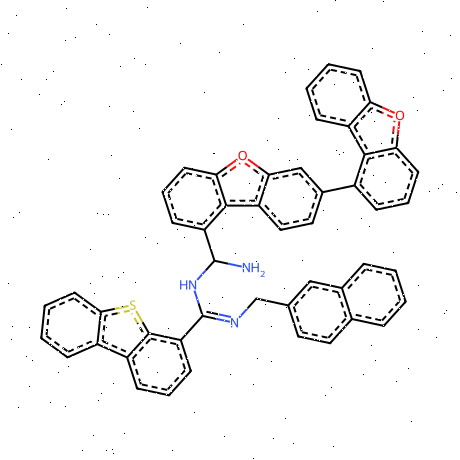 NC(N/C(=N\Cc1ccc2ccccc2c1)c1cccc2c1sc1ccccc12)c1cccc2oc3cc(-c4cccc5oc6ccccc6c45)ccc3c12